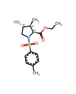 CCOC(=O)[C@@H]1[C@H](C)[C@@H](O)CN1S(=O)(=O)c1ccc(C)cc1